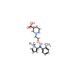 Cc1ccccc1C(=NOCCN1CCCC(C(=O)O)C1)c1cccn1C